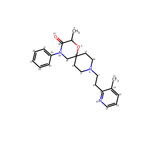 CC1OC2(CCN(CCc3ncccc3C(F)(F)F)CC2)CN(c2ccccc2)C1=O